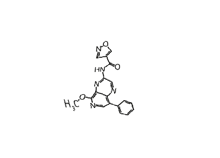 COc1ncc(-c2ccccc2)c2ncc(NC(=O)c3cnoc3)nc12